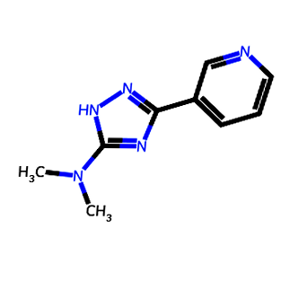 CN(C)c1nc(-c2cccnc2)n[nH]1